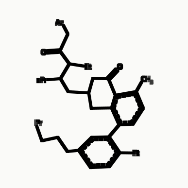 CCCC(CC1CC(=O)c2c(C)ccc(-c3cc(CCCC(C)C)ccc3CC)c2C1)C(CC)C(=O)CC(C)=O